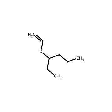 C=COC(CC)C[CH]C